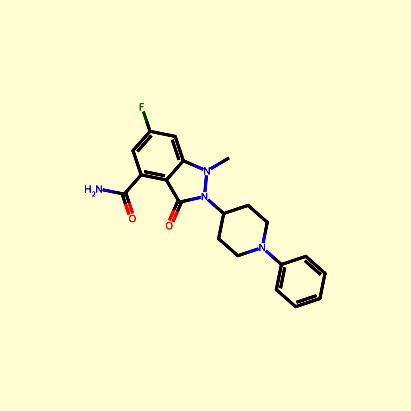 Cn1c2cc(F)cc(C(N)=O)c2c(=O)n1C1CCN(c2ccccc2)CC1